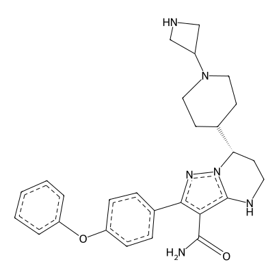 NC(=O)c1c(-c2ccc(Oc3ccccc3)cc2)nn2c1NCC[C@H]2C1CCN(C2CNC2)CC1